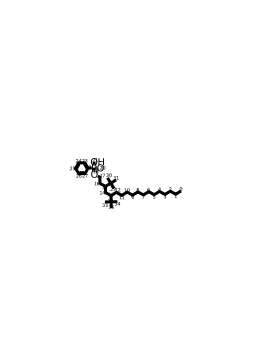 CCCCCCCCCCCCCC(CC(CCOP(=O)(O)c1ccccc1)C(C)(C)C)C(C)(C)C